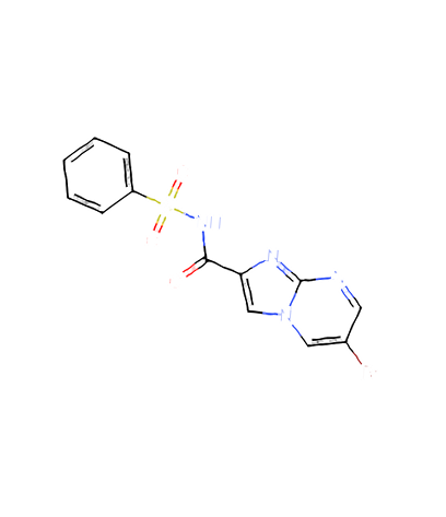 O=C(NS(=O)(=O)c1ccccc1)c1cn2cc(Br)cnc2n1